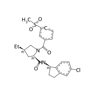 CC[C@@H]1C[C@H](C(=O)N[C@@H]2CCc3cc(Cl)ccc32)N(C(=O)c2cccc(S(C)(=O)=O)c2)C1